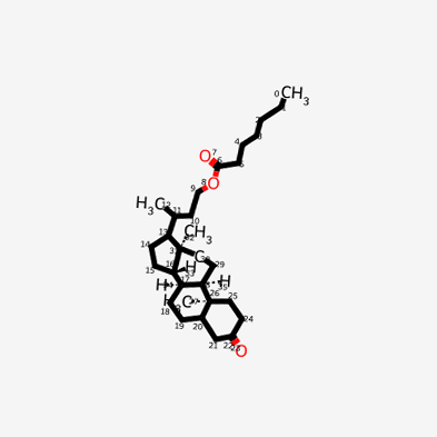 CCCCCCC(=O)OCCC(C)C1CC[C@H]2[C@@H]3CCC4CC(=O)CC[C@]4(C)[C@@H]3CC[C@]12C